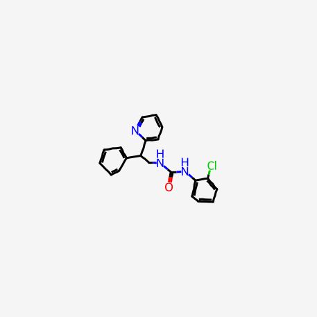 O=C(NCC(c1ccccc1)c1ccccn1)Nc1ccccc1Cl